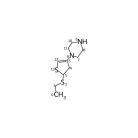 CCSC1CC(N2CCNCC2)=CS1